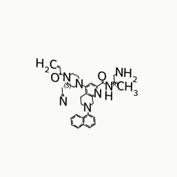 C=CC(=O)N1CCN(c2cc(C(=O)N[C@H](C)CN)nc3c2CCN(c2cccc4ccccc24)C3)C[C@@H]1CC#N